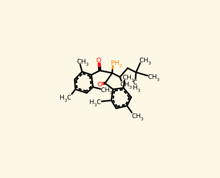 Cc1cc(C)c(C(=O)C(P)(C(=O)c2c(C)cc(C)cc2C)C(C)CC(C)(C)C)c(C)c1